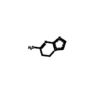 CC1=Nc2nccn2CC1